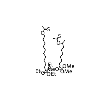 CCO[Si](CCCCCCCCCCOC(C)=S)(OCC)OCC.CO[Si](CCCCCCC(C)OC(C)=S)(OC)OC